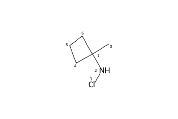 CC1(NCl)CCC1